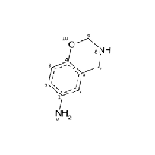 Nc1ccc2c(c1)CNCO2